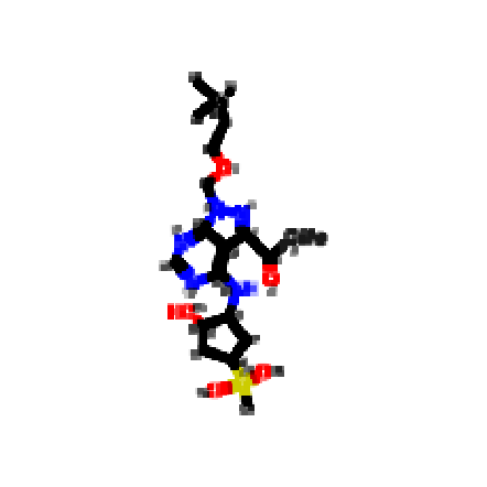 COC(=O)c1nn(COCC[Si](C)(C)C)c2ncnc(NC3CC(S(C)(=O)=O)C[C@H]3O)c12